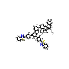 CC1(C)c2cc(-c3cccc(-c4cc(-c5ccc(-c6nc7ccccc7s6)cc5)cc(-c5ccc(-c6nc7ccccc7s6)cc5)c4)c3)ccc2-c2c1ccc1ccccc21